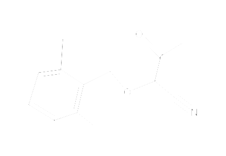 CC(=O)C(C#N)OCc1c(C)cccc1C